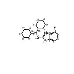 Cc1cccc2sc(SN(C3CCCCC3)C3CCCCC3)nc12